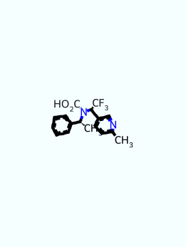 Cc1ccc([C@@H](N(C(=O)O)[C@H](C)c2ccccc2)C(F)(F)F)cn1